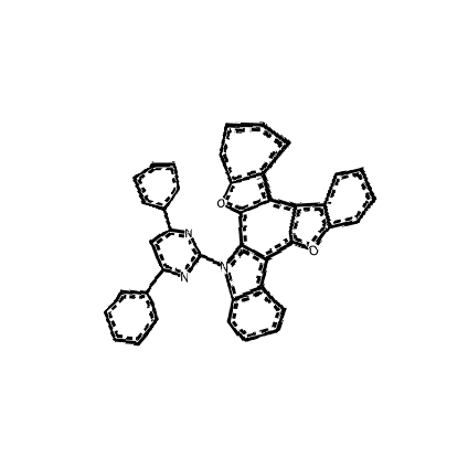 c1ccc(-c2cc(-c3ccccc3)nc(-n3c4ccccc4c4c5oc6ccccc6c5c5c6ccccc6oc5c43)n2)cc1